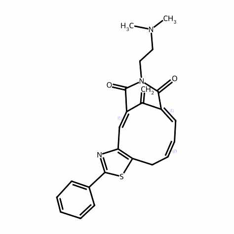 C=C1/C2=C\C=C/Cc3sc(-c4ccccc4)nc3/C=C\1C(=O)N(CCN(C)C)C2=O